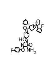 Nc1c(Oc2ccc(F)cc2)ncn(CC2(O)CCN(C(=O)[C@@H]3CCN(C4(c5ccccc5F)COC4)C[C@H]3c3ccccc3)CC2)c1=O